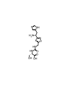 N[C@@H](Cc1cnc[nH]1)c1noc(CNC(=O)N[C@@H](CO)C(=O)O)n1